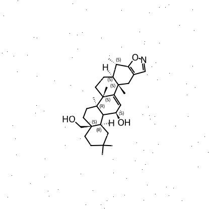 C[C@@H]1c2oncc2C[C@]2(C)C3=C[C@@H](O)C4[C@H]5CC(C)(C)CC[C@]5(CO)CC[C@@]4(C)[C@]3(C)CC[C@@H]12